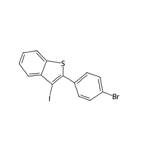 Brc1ccc(-c2sc3ccccc3c2I)cc1